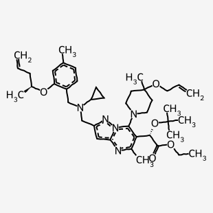 C=CCOC1(C)CCN(c2c([C@H](OC(C)(C)C)C(=O)OCC)c(C)nc3cc(CN(Cc4ccc(C)cc4O[C@@H](C)CC=C)C4CC4)nn23)CC1